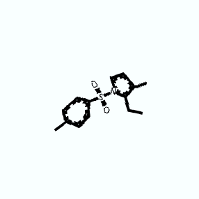 CCc1c(C)ccn1S(=O)(=O)c1ccc(C)cc1